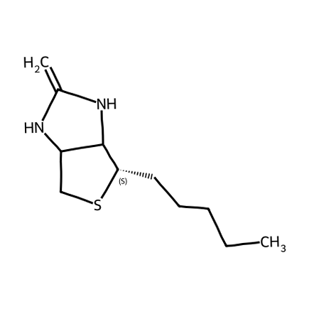 C=C1NC2CS[C@@H](CCCCC)C2N1